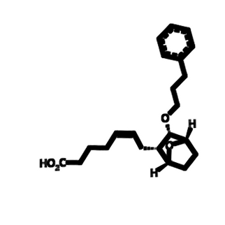 O=C(O)CCC/C=C\C[C@@H]1[C@H](OCCCc2ccccc2)[C@@H]2CC[C@H]1O2